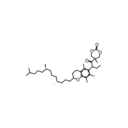 CCC(C(=O)C1(C)COC(=O)OC1)c1c(C)c(C)c2c(c1C)CCC(CCC[C@H](C)CCC[C@H](C)CCCC(C)C)O2